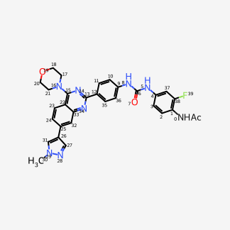 CC(=O)Nc1ccc(NC(=O)Nc2ccc(-c3nc(N4CCOCC4)c4ccc(-c5cnn(C)c5)cc4n3)cc2)cc1F